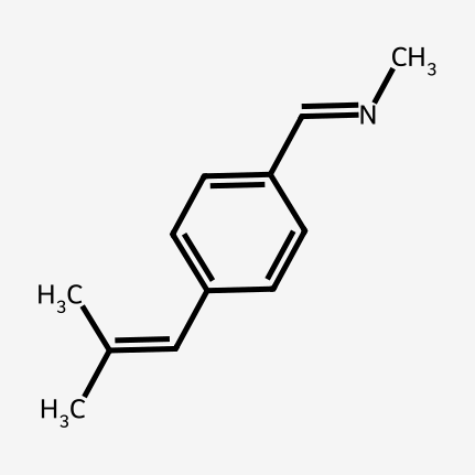 C/N=C/c1ccc(C=C(C)C)cc1